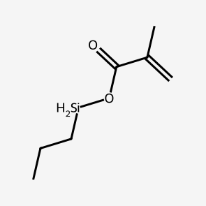 C=C(C)C(=O)O[SiH2]CCC